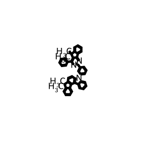 CC1(C)c2ccccc2-c2c1ccc1c2c2ccccc2n1-c1cccc(-c2nc(-c3ccccc3)c3c(n2)-c2ccccc2C3(C)C)c1